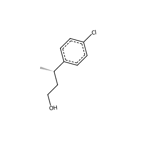 C[C@@H](CCO)c1ccc(Cl)cc1